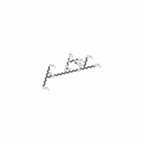 CCCCCCC(CCCCCC)CC(=O)OCCCCCCC(CCCCCCOC(=O)CC(CCCCCC)CCCCCC)OC(=O)OCCN(CC)CCN(CC)CC